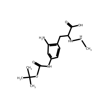 CPNC(Cc1ccc(NC(=O)OC(C)(C)C)cc1N)C(=O)O